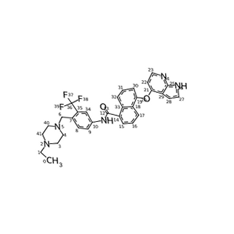 CCN1CCN(Cc2ccc(NC(=O)c3cccc4c(Oc5ccnc6[nH]ccc56)cccc34)cc2C(F)(F)F)CC1